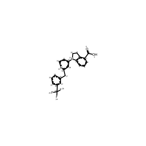 O=C(O)c1cccc2c1CCN2c1ccnc(Cc2cccc(C(F)(F)F)c2)c1